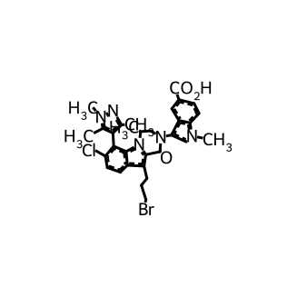 Cc1nn(C)c(C)c1-c1c(Cl)ccc2c(CCCBr)c3n(c12)C(C)CN(c1cn(C)c2ccc(C(=O)O)cc12)C3=O